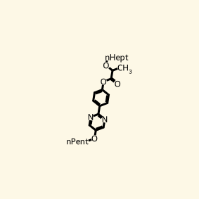 CCCCCCCOC(C)C(=O)Oc1ccc(-c2ncc(OCCCCC)cn2)cc1